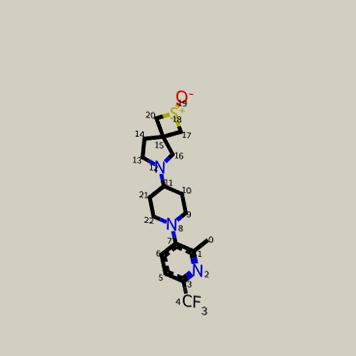 Cc1nc(C(F)(F)F)ccc1N1CCC(N2CCC3(C2)C[S+]([O-])C3)CC1